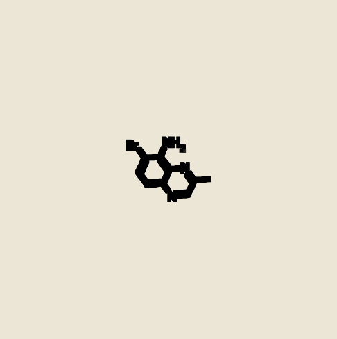 Cc1cnc2ccc(Br)c(N)c2n1